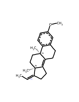 C/C=C1/CCC2=C3CCc4cc(OC)ccc4[C@]3(C)CC[C@@]21C